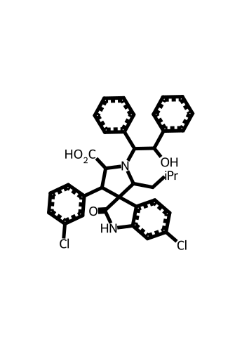 CC(C)CC1N(C(c2ccccc2)C(O)c2ccccc2)C(C(=O)O)C(c2cccc(Cl)c2)C12C(=O)Nc1cc(Cl)ccc12